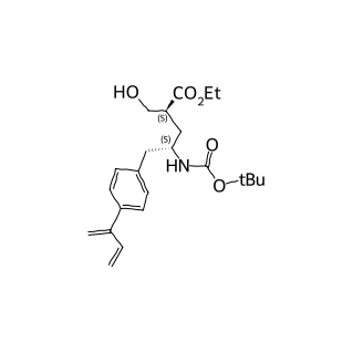 C=CC(=C)c1ccc(C[C@H](C[C@@H](CO)C(=O)OCC)NC(=O)OC(C)(C)C)cc1